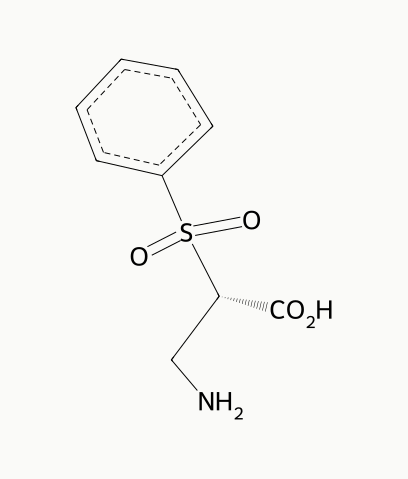 NC[C@@H](C(=O)O)S(=O)(=O)c1ccccc1